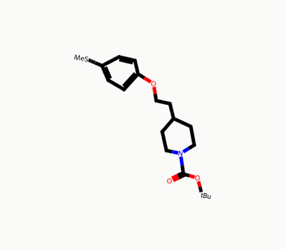 CSc1ccc(OCCC2CCN(C(=O)OC(C)(C)C)CC2)cc1